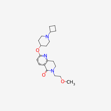 COCCN1CCc2nc(OC3CCN(C4CCC4)CC3)ccc2C1=O